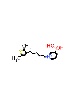 Cc1cc(CCCCCC[n+]2cccc(B(O)O)c2)c(C)s1